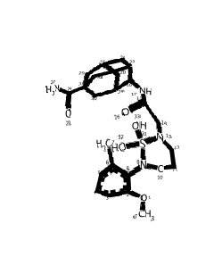 COc1cccc(C)c1N1CCCN(CC(=O)NC2C3CC4CC2CC(C(N)=O)(C4)C3)S1(O)O